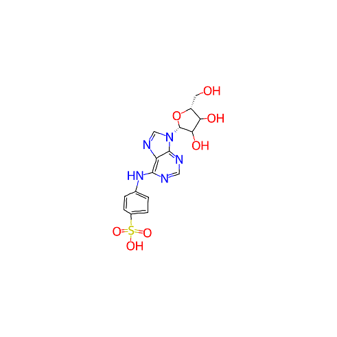 O=S(=O)(O)c1ccc(Nc2ncnc3c2ncn3[C@@H]2O[C@H](CO)C(O)C2O)cc1